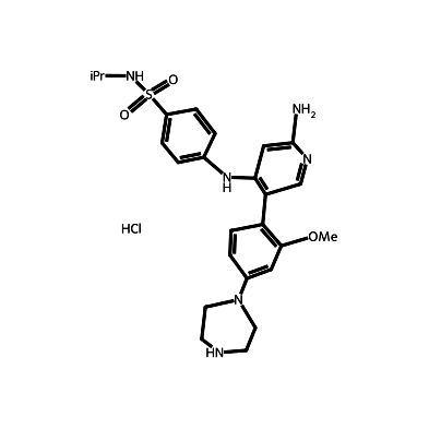 COc1cc(N2CCNCC2)ccc1-c1cnc(N)cc1Nc1ccc(S(=O)(=O)NC(C)C)cc1.Cl